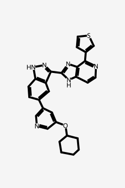 c1cc2[nH]c(-c3n[nH]c4ccc(-c5cncc(OC6CCCCC6)c5)cc34)nc2c(-c2ccsc2)n1